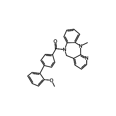 COc1ccccc1-c1ccc(C(=O)N2Cc3cccnc3N(C)c3ccccc32)cc1